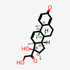 C[C@H]1C[C@H]2[C@@H]3CCC4=CC(=O)C=C[C@]4(C)[C@@]3(F)C=C[C@]2(C)[C@@]1(O)C(=O)CO